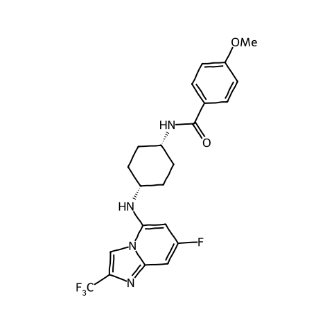 COc1ccc(C(=O)N[C@H]2CC[C@@H](Nc3cc(F)cc4nc(C(F)(F)F)cn34)CC2)cc1